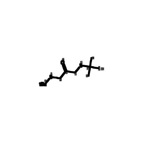 CC(C)(C)SCC(=O)CSC(C)(C)I